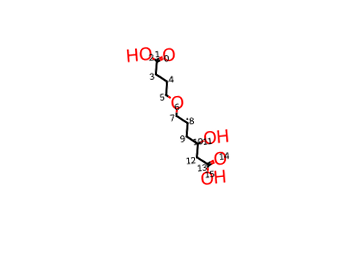 O=C(O)CCCOC[CH]CC(O)CC(=O)O